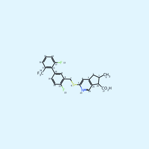 CC1Cc2cc(SCc3cc(-c4c(F)cccc4C(F)(F)F)ccc3F)ncc2C1C(=O)O